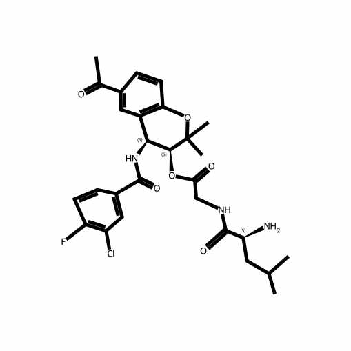 CC(=O)c1ccc2c(c1)[C@H](NC(=O)c1ccc(F)c(Cl)c1)[C@H](OC(=O)CNC(=O)[C@@H](N)CC(C)C)C(C)(C)O2